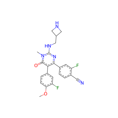 COc1ccc(-c2c(-c3ccc(C#N)c(F)c3)nc(NCC3CNC3)n(C)c2=O)cc1F